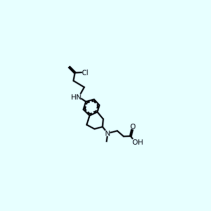 C=C(Cl)CCNc1ccc2c(c1)CCC(N(C)CCC(=O)O)C2